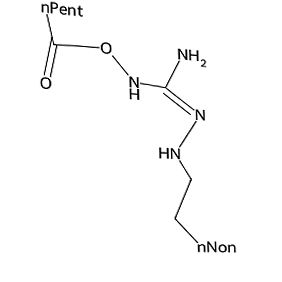 CCCCCCCCCCCNN=C(N)NOC(=O)CCCCC